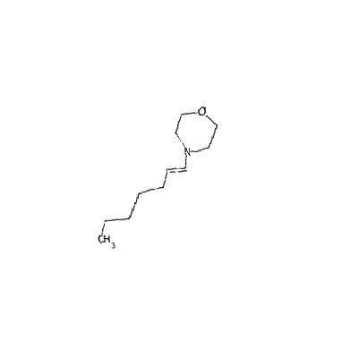 CCCCCC=CN1CCOCC1